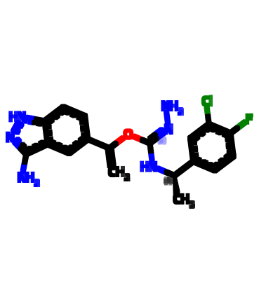 C=C(O/C(=N\N)N[C@H](C)c1ccc(F)c(Cl)c1)c1ccc2[nH]nc(N)c2c1